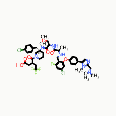 COCC(NC(=O)C(C)NCc1c(F)cc(Cl)cc1Oc1ccc(-c2cnc(CN(C)C)n2C)cc1)C(=O)N(C)[C@@]1(Cc2ccc(Cl)cc2)CCCN(C(=O)C(CC(=O)O)CC(F)(F)F)C1